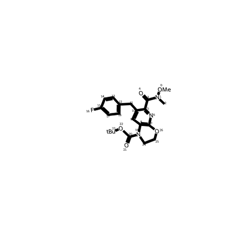 CON(C)C(=O)c1nc2c(cc1Cc1ccc(F)cc1)N(C(=O)OC(C)(C)C)CCO2